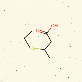 CC(S)CC(=O)O.CCC